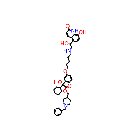 O=C(OCC1CCN(Cc2ccccc2)CC1)C(O)(c1cccc(OCCCCCNCC(O)c2ccc(O)c3[nH]c(=O)ccc23)c1)C1CCCCC1